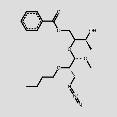 CCCCO[C@@H](CN=[N+]=[N-])[C@@H](OC)OC(COC(=O)c1ccccc1)[C@H](C)O